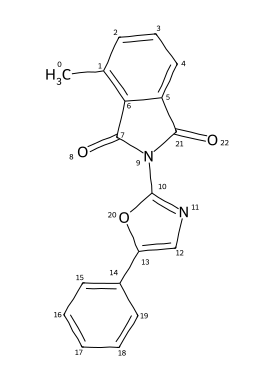 Cc1cccc2c1C(=O)N(c1ncc(-c3ccccc3)o1)C2=O